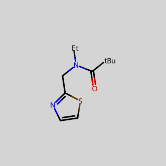 CCN(Cc1nccs1)C(=O)C(C)(C)C